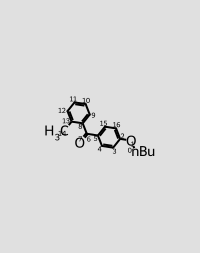 CCCCOc1ccc(C(=O)c2ccccc2C)cc1